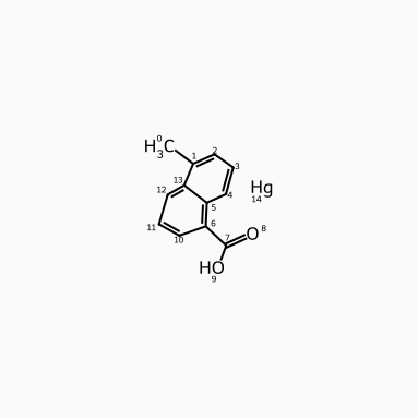 Cc1cccc2c(C(=O)O)cccc12.[Hg]